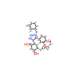 CCc1cc(-c2nnn(Cc3cccc(F)c3F)c2-c2ccc3c(c2)OCCO3)c(O)cc1O